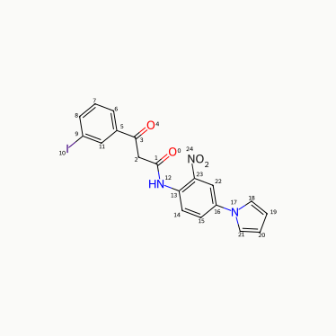 O=C(CC(=O)c1cccc(I)c1)Nc1ccc(-n2cccc2)cc1[N+](=O)[O-]